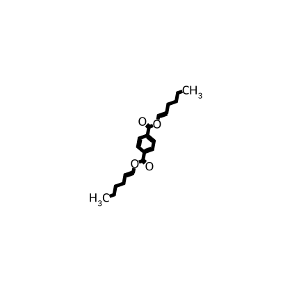 CCCCC=COC(=O)c1ccc(C(=O)OC=CCCCC)cc1